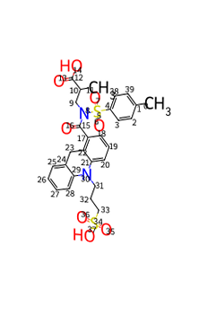 Cc1ccc(S(=O)(=O)N(CC(C)C(=O)O)C(=O)c2cccc3c2Cc2ccccc2N3CCCS(=O)(=O)O)cc1